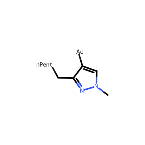 CCCCCCc1nn(C)cc1C(C)=O